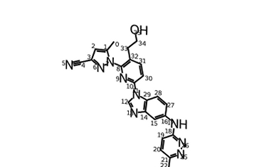 Cc1cc(C#N)nn1-c1nc(-n2cnc3cc(Nc4ccc(C(F)F)nn4)ccc32)ccc1CCO